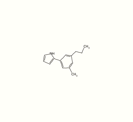 CCCc1cc(C)cc(-c2ccc[nH]2)c1